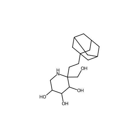 OCC1(CCC23CC4CC(CC(C4)C2)C3)NCC(O)C(O)C1O